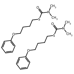 CN(C)C(=O)SCCCCOc1ccccc1.CN(C)C(=O)SCCCCOc1ccccc1